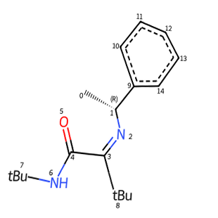 C[C@@H](N=C(C(=O)NC(C)(C)C)C(C)(C)C)c1ccccc1